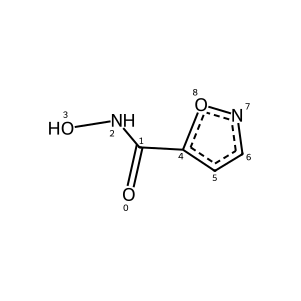 O=C(NO)c1ccno1